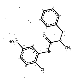 CC(Cc1ccccc1)C(=O)Nc1cc(C(=O)O)ccc1Cl